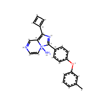 Cc1cccc(Oc2ccc(C3=NC(C4=CC=C4)=C4C=NC=C[N+]34N)cc2)c1